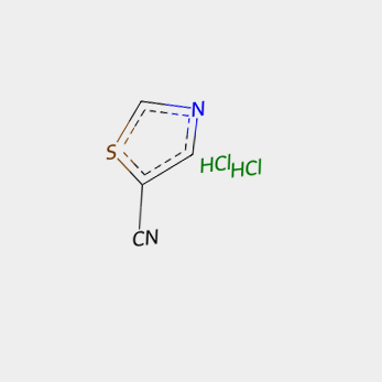 Cl.Cl.N#Cc1cncs1